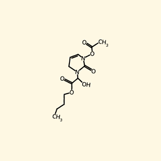 CCCCOC(=O)C(O)N1CC=CN(OC(C)=O)C1=O